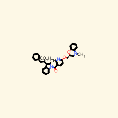 Cc1c(C(Cc2ccccc2)C(=O)O)c2ccccc2n1C(=O)c1ccc(OC[C@@H]2CN(C)c3ccccc3O2)nc1